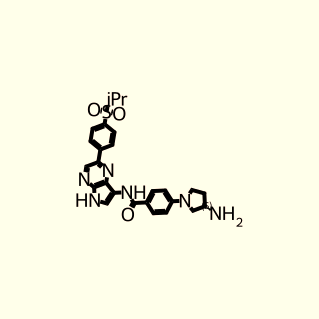 CC(C)S(=O)(=O)c1ccc(-c2cnc3[nH]cc(NC(=O)c4ccc(N5CC[C@H](N)C5)cc4)c3n2)cc1